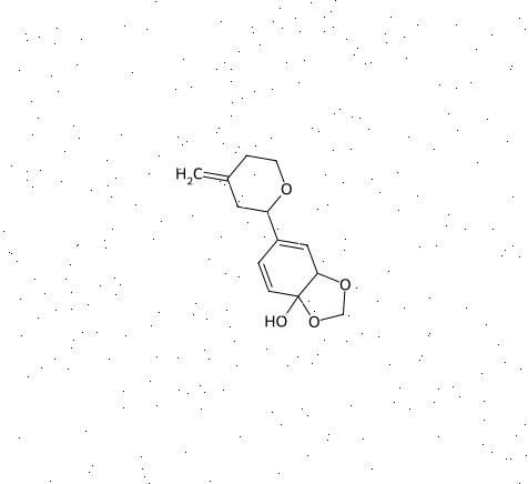 C=C1CCOC(C2=CC3OCOC3(O)C=C2)C1